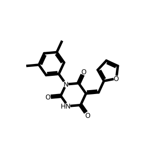 Cc1cc(C)cc(N2C(=O)NC(=O)C(=Cc3ccco3)C2=O)c1